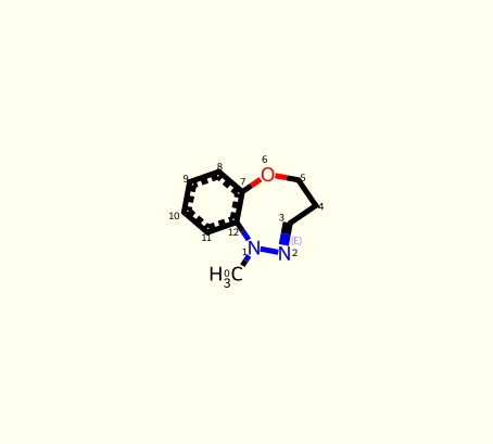 CN1/N=C/CCOc2ccccc21